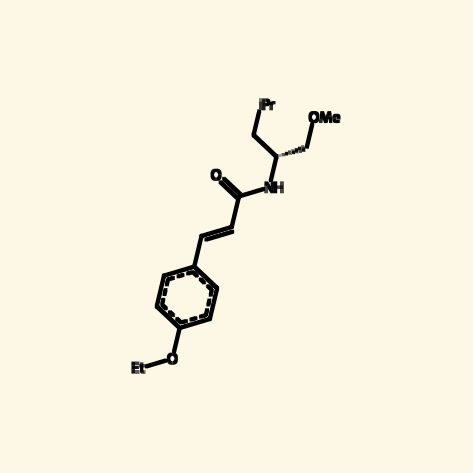 CCOc1ccc(C=CC(=O)N[C@@H](COC)CC(C)C)cc1